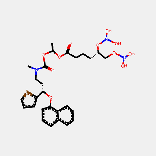 CC(OC(=O)CCC[C@@H](CON(O)O)ON(O)O)OC(=O)N(C)CC[C@H](Oc1cccc2ccccc12)c1cccs1